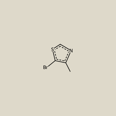 Cc1ncsc1Br